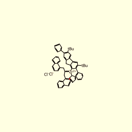 CC(C)(C)c1cc2c(cc1-c1ccccc1)Cc1c-2cc(C(C)(C)C)c(-c2ccccc2)[c]1[Zr+2](=[C](Cc1cccc2ccccc12)Cc1cccc2ccccc12)[CH]1C=CC=C1.[Cl-].[Cl-]